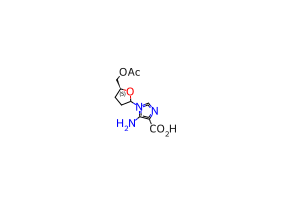 CC(=O)OC[C@@H]1CCC(n2cnc(C(=O)O)c2N)O1